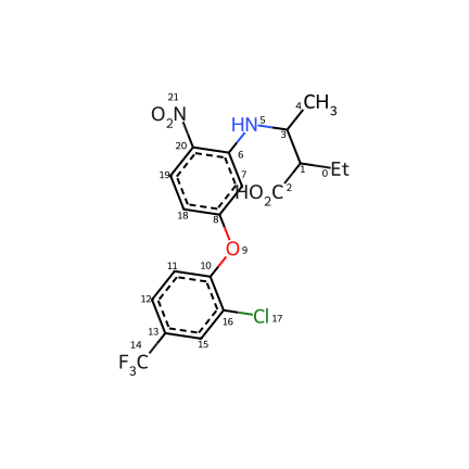 CCC(C(=O)O)C(C)Nc1cc(Oc2ccc(C(F)(F)F)cc2Cl)ccc1[N+](=O)[O-]